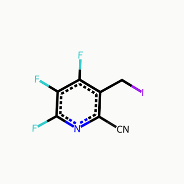 N#Cc1nc(F)c(F)c(F)c1CI